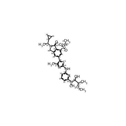 CNS(=O)(=O)c1cc(-c2sc(Nc3cccc(N(C)C(O)[C@@H](C)OC)n3)nc2C)cc2c1C(=O)N([C@@H](C)C1CC1)C2